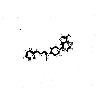 Cc1csc2c(N3CCC(NCCCc4ccccn4)CC3)ncnc12